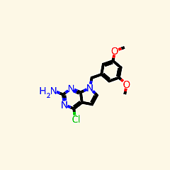 COc1cc(Cn2ccc3c(Cl)nc(N)nc32)cc(OC)c1